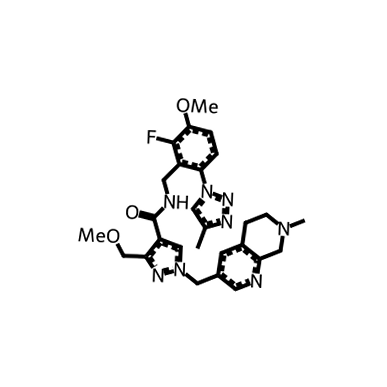 COCc1nn(Cc2cnc3c(c2)CCN(C)C3)cc1C(=O)NCc1c(-n2cc(C)nn2)ccc(OC)c1F